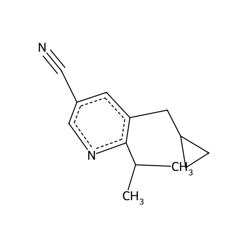 CC(C)c1ncc(C#N)cc1CC1CC1